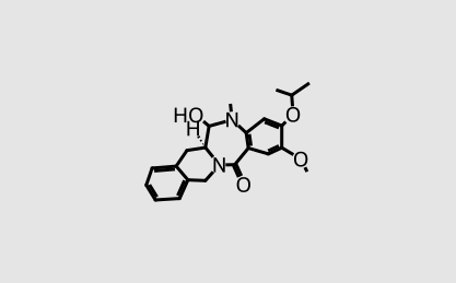 COc1cc2c(cc1OC(C)C)N(C)C(O)[C@@H]1Cc3ccccc3CN1C2=O